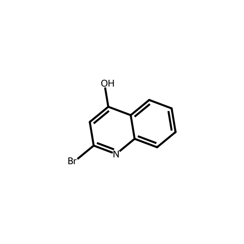 Oc1cc(Br)nc2ccccc12